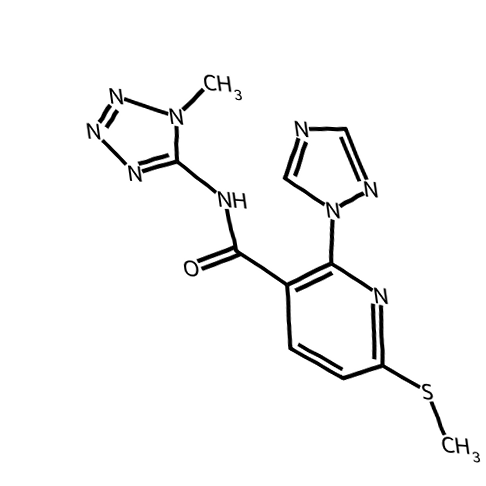 CSc1ccc(C(=O)Nc2nnnn2C)c(-n2cncn2)n1